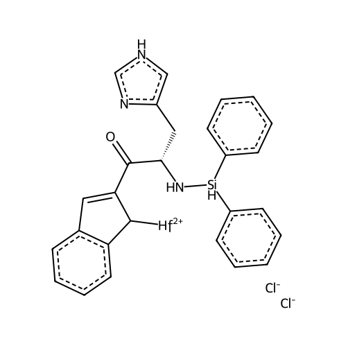 O=C(C1=Cc2ccccc2[CH]1[Hf+2])[C@H](Cc1c[nH]cn1)N[SiH](c1ccccc1)c1ccccc1.[Cl-].[Cl-]